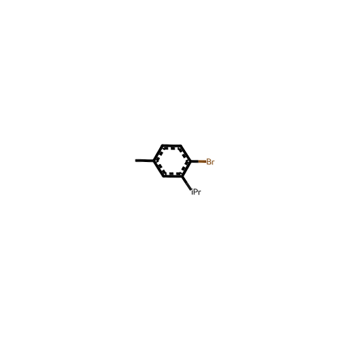 [CH2]C(C)c1cc(C)ccc1Br